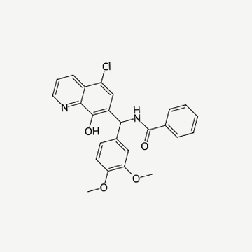 COc1ccc(C(NC(=O)c2ccccc2)c2cc(Cl)c3cccnc3c2O)cc1OC